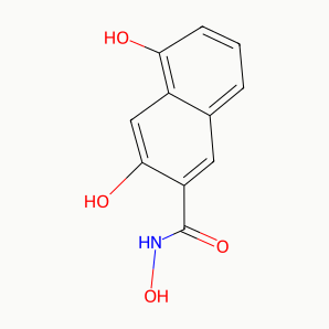 O=C(NO)c1cc2cccc(O)c2cc1O